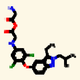 CCc1c2cc(Oc3c(Br)cc(NCC(=O)OC(=O)CN)cc3Br)ccc2nn1CC(C)C